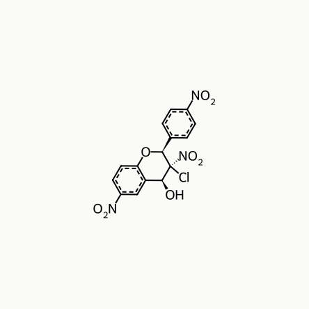 O=[N+]([O-])c1ccc([C@@H]2Oc3ccc([N+](=O)[O-])cc3[C@H](O)[C@@]2(Cl)[N+](=O)[O-])cc1